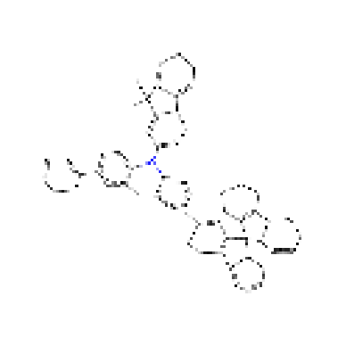 Cc1cc(C2=CC=CCC2)ccc1N(C1=CCC2C3=CCCC=C3C(C)(C)C2=C1)c1ccc(C2=CC3=C(CC2)C2=CC=CCC2C32C3=C(CCC=C3)C3CCC=CC32)cc1